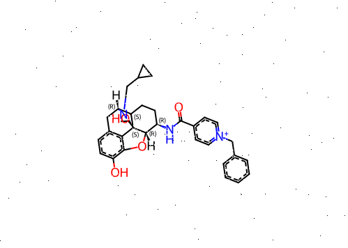 O=C(N[C@@H]1CC[C@@]2(O)[C@H]3Cc4ccc(O)c5c4[C@@]2(CCN3CC2CC2)[C@H]1O5)c1cc[n+](Cc2ccccc2)cc1